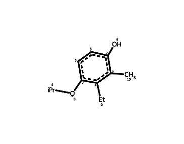 CCc1c(OC(C)C)ccc(O)c1C